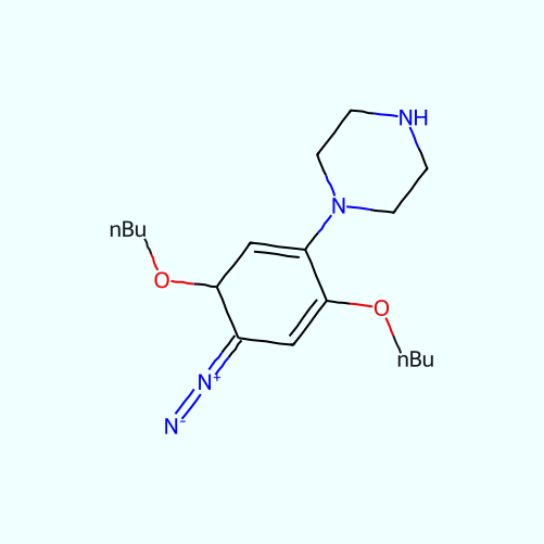 CCCCOC1=CC(=[N+]=[N-])C(OCCCC)C=C1N1CCNCC1